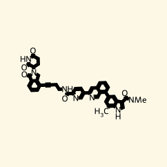 CNC(=O)c1c[nH]c2c(C)cc(-c3cccc4cc(-c5ccc(C(=O)NCCC#Cc6cccc7c6CN(C6CCC(=O)NC6=O)C7=O)nc5)ncc34)cc12